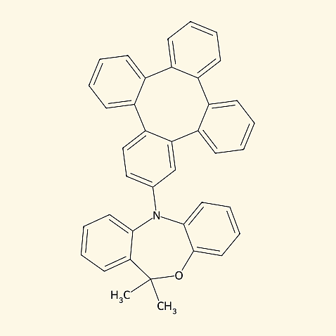 CC1(C)Oc2ccccc2N(c2ccc3c(c2)-c2ccccc2-c2ccccc2-c2ccccc2-3)c2ccccc21